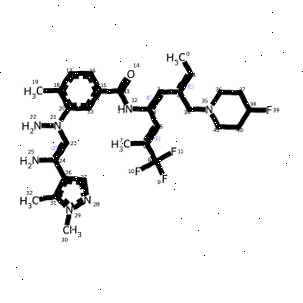 C\C=C(/C=C(\C=C(/C)C(F)(F)F)NC(=O)c1ccc(C)c(N(N)/C=C(\N)c2cnn(C)c2C)c1)CN1CCC(F)CC1